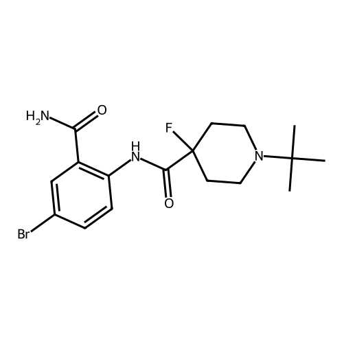 CC(C)(C)N1CCC(F)(C(=O)Nc2ccc(Br)cc2C(N)=O)CC1